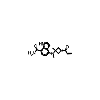 C=CC(=O)N1CC(C)(N(C)c2ccc(C(N)=O)c3[nH]ccc23)C1